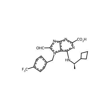 C[C@@H](Nc1nc(C(=O)O)nc2nc(C=O)n(Cc3ccc(C(F)(F)F)cc3)c12)C1CCC1